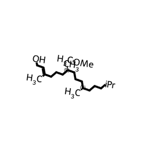 CC(=CCO)CCC[C@H](C)CCC[C@H](C)CCCC(C)C.COC